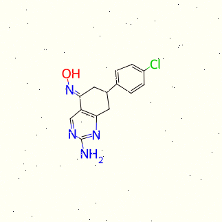 Nc1ncc2c(n1)CC(c1ccc(Cl)cc1)CC2=NO